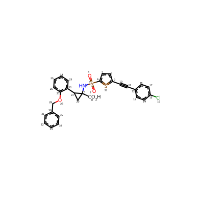 O=C(O)C1(NS(=O)(=O)c2ccc(C#Cc3ccc(Cl)cc3)s2)CC1c1ccccc1OCc1ccccc1